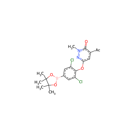 CC(=O)c1cc(Oc2c(Cl)cc(B3OC(C)(C)C(C)(C)O3)cc2Cl)nn(C)c1=O